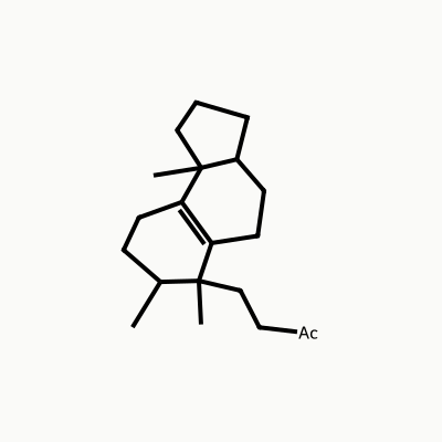 CC(=O)CCC1(C)C2=C(CCC1C)C1(C)CCCC1CC2